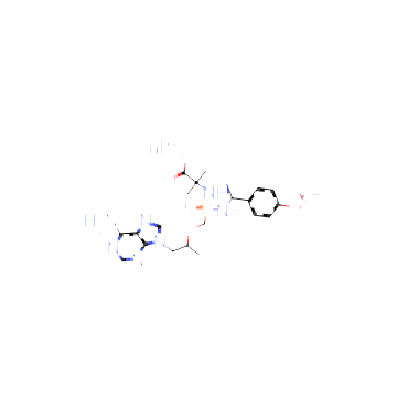 CCCOC(=O)C(C)(C)NP(=O)(COC(C)Cn1cnc2c(N)ncnc21)NC(C)c1ccc(OC(F)(F)F)cc1